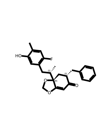 Cc1cc(F)c(C[C@H](C)[C@]23C[C@H](Cc4ccccc4)C(=O)C=C2OCO3)cc1O